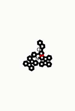 c1ccc(N(c2ccc3c(c2)C2(c4ccccc4-c4ccccc42)c2ccccc2-3)c2cccc3c2-c2ccccc2C32c3ccccc3-c3ccccc32)c(-c2cccc3c2oc2c4ccccc4ccc32)c1